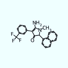 CN1C(N)=C(c2cccc(C(F)(F)F)c2)C(=O)C1c1cccc2ccccc12